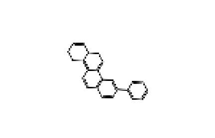 C1=CC2CC=c3c(ccc4ccc(-c5ccccc5)cc34)=C2CC1